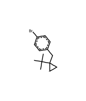 CC(C)(C)C1(Cc2ccc(Br)cc2)[CH]C1